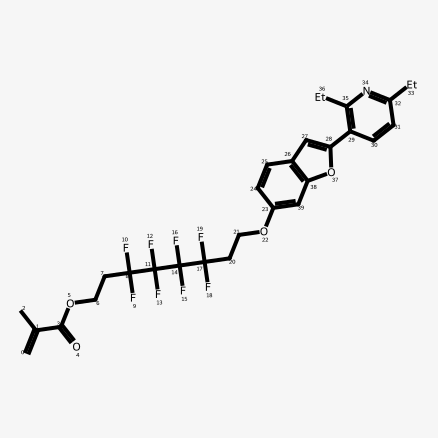 C=C(C)C(=O)OCCC(F)(F)C(F)(F)C(F)(F)C(F)(F)CCOc1ccc2cc(-c3ccc(CC)nc3CC)oc2c1